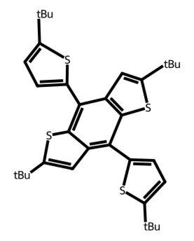 CC(C)(C)c1ccc(-c2c3cc(C(C)(C)C)sc3c(-c3ccc(C(C)(C)C)s3)c3cc(C(C)(C)C)sc23)s1